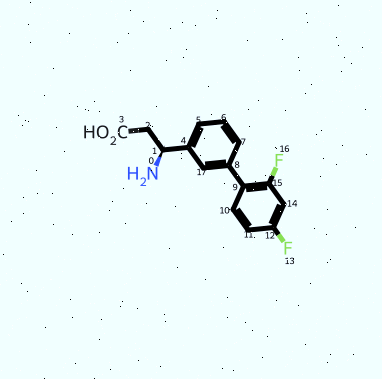 N[C@@H](CC(=O)O)c1cccc(-c2ccc(F)cc2F)c1